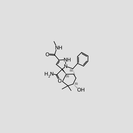 CNC(=O)C1=CC(C(N)=O)([C@H]2CC[C@H](O)C(C)(C)C2)N([C@@H](C)c2ccccc2)N1